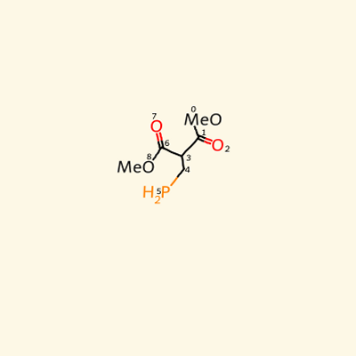 COC(=O)C(CP)C(=O)OC